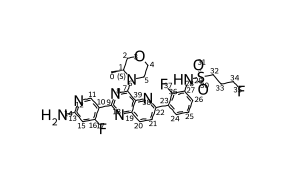 C[C@H]1COCCN1c1nc(-c2cnc(N)cc2F)nc2ccc(-c3cccc(NS(=O)(=O)CCCF)c3F)nc12